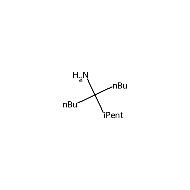 CCCCC(N)(CCCC)C(C)CCC